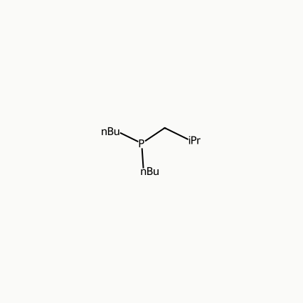 CCCCP(CCCC)CC(C)C